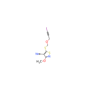 COc1nsc(SCOCC#CI)c1C#N